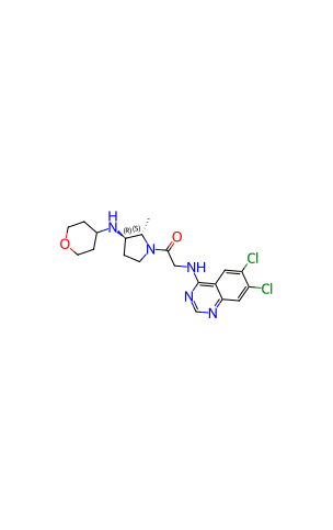 C[C@H]1[C@H](NC2CCOCC2)CCN1C(=O)CNc1ncnc2cc(Cl)c(Cl)cc12